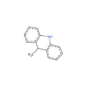 CC1c2ccccc2Nc2ccccc21